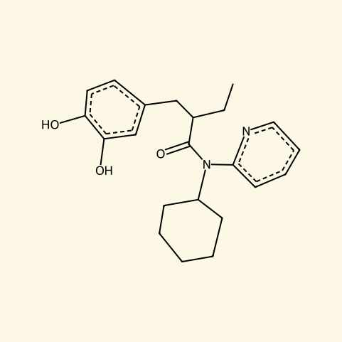 CCC(Cc1ccc(O)c(O)c1)C(=O)N(c1ccccn1)C1CCCCC1